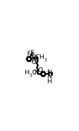 CN(Cc1ccc(C2=NCCN2)cc1)C(=O)CCCCN(C)S(=O)(=O)c1ccccc1C(F)(F)F